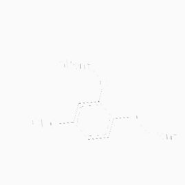 CCCCCOc1ccc(C=O)cc1OCCCCC